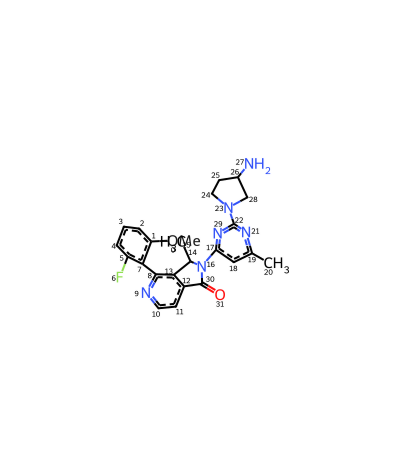 COc1cccc(F)c1-c1nccc2c1C(C)N(c1cc(C)nc(N3CCC(N)C3)n1)C2=O